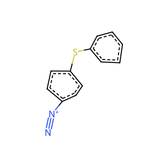 N#[N+]c1ccc(Sc2ccccc2)cc1